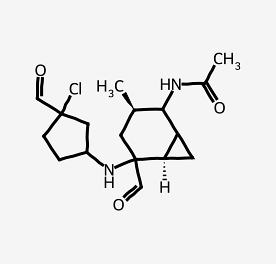 CC(=O)NC1C2C[C@H]2C(C=O)(NC2CCC(Cl)(C=O)C2)C[C@H]1C